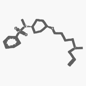 C=CCN(C)CCCCO[C@H]1CC[C@H](N(C)S(=O)(=O)c2ccccc2)CC1